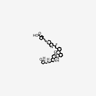 O=C1CCC(CNCc2cnc3c(Nc4cccc(-c5cccc(C=C(F)c6cc7c(cn6)CN(CCC68CCC(C(=O)O)(CC6)C8)CC7)c5Cl)c4Cl)nccc3c2)N1